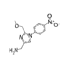 COCc1nc(CN)cn1-c1ccc([N+](=O)[O-])cc1